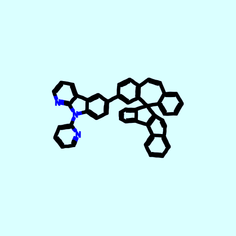 C1=Cc2ccc(-c3ccc4c(c3)c3cccnc3n4-c3ccccn3)cc2C2(c3ccccc31)c1ccccc1-c1c2ccc2ccccc12